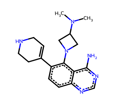 CN(C)C1CN(c2c(C3=CCNCC3)ccc3ncnc(N)c23)C1